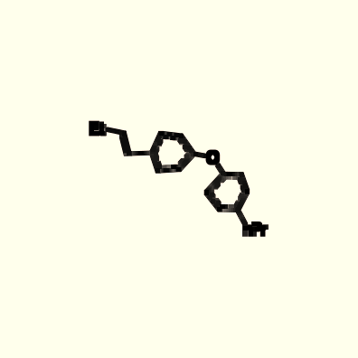 CCC=Cc1ccc(Oc2ccc(CCC)cc2)cc1